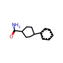 NC(=O)C1CCC(c2ccccc2)CC1